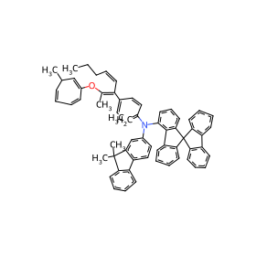 C=C(\C=C/C(=C\C)C(/C=C\CCC)=C(\C)OC1=CC(C)C=CC=C1)N(c1ccc2c(c1)C(C)(C)c1ccccc1-2)c1cccc2c1-c1ccccc1C21c2ccccc2-c2ccccc21